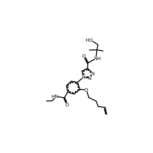 C=CCCCOc1cc(C(=O)NCC)ccc1-n1cc(C(=O)NC(C)(C)CO)nn1